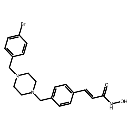 O=C(C=Cc1ccc(CN2CCN(Cc3ccc(Br)cc3)CC2)cc1)NO